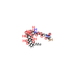 COc1cccc2c1C(=O)c1c(O)c3c(c(O)c1C2=O)C[C@@](O)(C(=O)CO)C[C@@H]3O[C@H]1C[C@H](NC(=O)OCOC(=O)CCCN2C(=O)CC(S)C2=O)[C@H](O)[C@H](O)O1